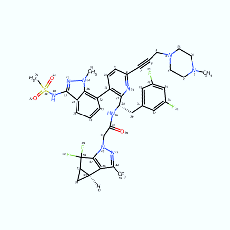 CN1CCN(CC#Cc2ccc(-c3cccc4c(NS(C)(=O)=O)nn(C)c34)c([C@H](Cc3cc(F)cc(F)c3)NC(=O)Cn3nc(C(F)(F)F)c4c3C(F)(F)C3C[C@H]43)n2)CC1